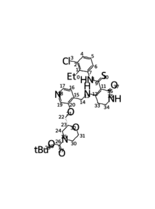 CCc1c(Cl)cccc1NC(=S)C1=C(NCc2ccncc2OC[C@H]2CN(C(=O)OC(C)(C)C)CCO2)CCNC1=O